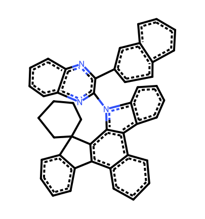 c1ccc2c(c1)-c1c(c3c(c4ccccc14)c1ccccc1n3-c1nc3ccccc3nc1-c1ccc3ccccc3c1)C21CCCCC1